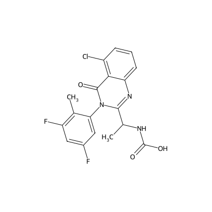 Cc1c(F)cc(F)cc1-n1c(C(C)NC(=O)O)nc2cccc(Cl)c2c1=O